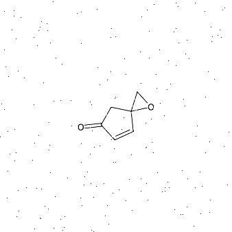 O=C1C=CC2(CO2)C1